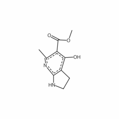 COC(=O)c1c(C)nc2c(c1O)CCN2